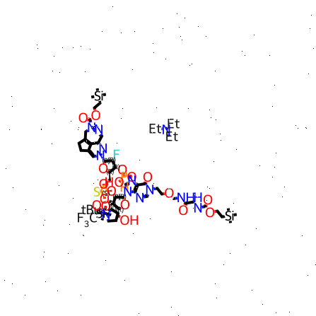 CC(C)(C)[Si](C)(C)O[C@H]1[C@@H](O[P@](=S)(OC[C@@H]2CCCN2C(=O)C(F)(F)F)OC[C@H]2O[C@@H](N3C=C4CCC5=C4C(=N3)C=NN(C(=O)OCC[Si](C)(C)C)C5)[C@H](F)[C@@H]2O[PH](=O)O)[C@H](n2cnc3c(=O)n(CCOCNC(=O)CNC(=O)OCC[Si](C)(C)C)cnc32)O[C@@H]1CO.CCN(CC)CC